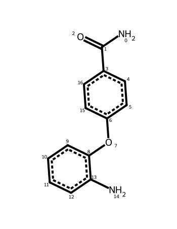 NC(=O)c1ccc(Oc2ccccc2N)cc1